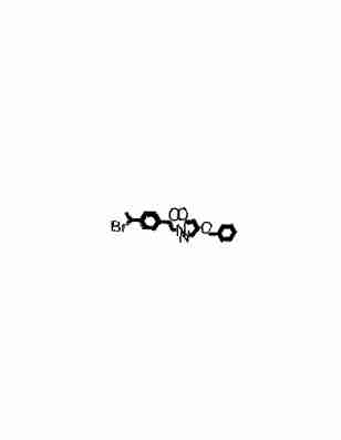 CC(Br)c1ccc(C(=O)Cn2ncc(OCc3ccccc3)cc2=O)cc1